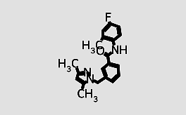 Cc1cc(C)n(Cc2cccc(C(=O)Nc3ccc(F)cc3C)c2)n1